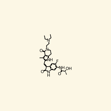 CCN(CC)CCN1CCc2[nH]c(/C=C3/C(=O)Nc4cc(NC(=O)[C@H](C)O)c(F)cc43)c(C)c2C1=O